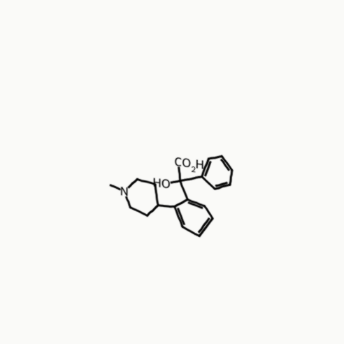 CN1CCC(c2ccccc2C(O)(C(=O)O)c2ccccc2)CC1